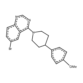 COc1ccc(C2CCN(c3ncnc4ccc(Br)cc34)CC2)cc1